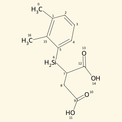 Cc1cccc([SiH2]C(CC(=O)O)C(=O)O)c1C